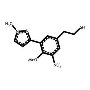 COc1c(-c2ccn(C)n2)cc(CCS)cc1[N+](=O)[O-]